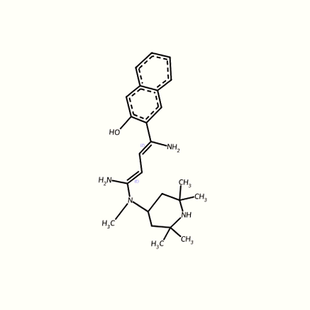 CN(/C(N)=C/C=C(\N)c1cc2ccccc2cc1O)C1CC(C)(C)NC(C)(C)C1